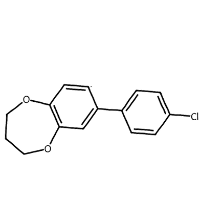 Clc1ccc(-c2[c]cc3c(c2)OCCCO3)cc1